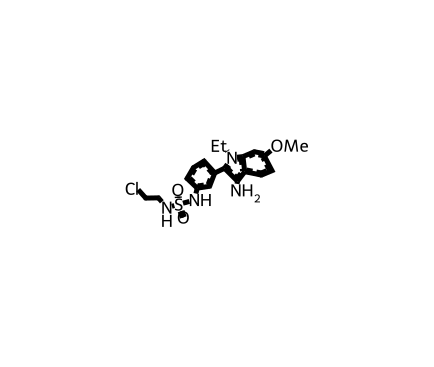 CCn1c(-c2cccc(NS(=O)(=O)NCCCl)c2)c(N)c2ccc(OC)cc21